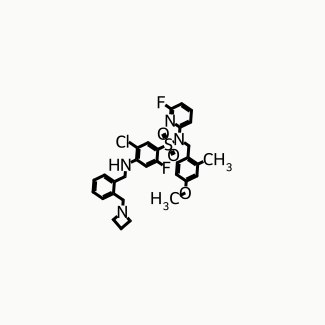 COc1ccc(CN(c2cccc(F)n2)S(=O)(=O)c2cc(Cl)c(NCc3ccccc3CN3CCC3)cc2F)c(C)c1